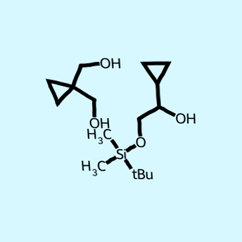 CC(C)(C)[Si](C)(C)OCC(O)C1CC1.OCC1(CO)CC1